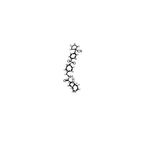 N#CC1(c2ccc(S(=O)(=O)c3ccc(CNC(=O)c4cc5cnccc5[nH]4)cc3)cc2)CCCC1